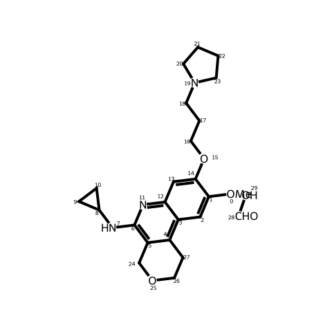 COc1cc2c3c(c(NC4CC4)nc2cc1OCCCN1CCCC1)COCC3.O=CO